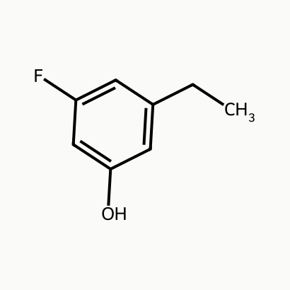 CCc1cc(O)cc(F)c1